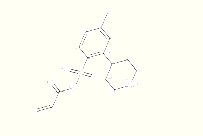 C=CC(=O)OS(=O)(=O)c1ccc(C)cc1C1CCNCC1